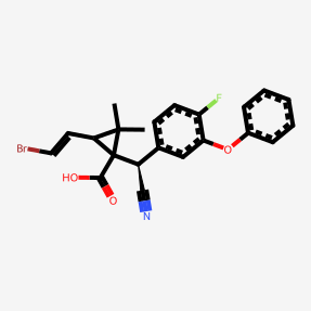 CC1(C)C(C=CBr)C1(C(=O)O)[C@H](C#N)c1ccc(F)c(Oc2ccccc2)c1